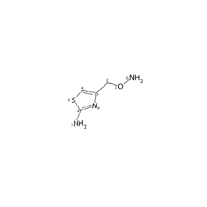 NOCc1csc(N)n1